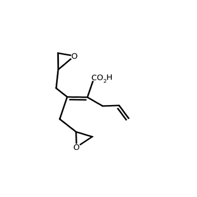 C=CCC(C(=O)O)=C(CC1CO1)CC1CO1